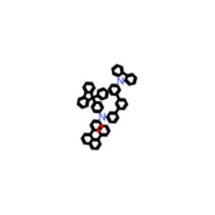 c1ccc(-c2cccc3cccc(-c4ccc(N(c5ccc(C6(c7ccccc7)c7ccccc7-c7ccccc76)cc5)c5cccc(-c6cccc(-c7cccc(-n8c9ccccc9c9ccccc98)c7)c6)c5)cc4)c23)cc1